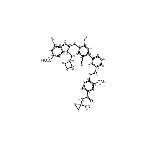 COc1cc(C(=O)NC2(C#N)CC2)ncc1COc1cccc(-c2cc(F)c(Cc3nc4c(F)cc(C(=O)O)cc4n3C[C@@H]3CCO3)cc2F)n1